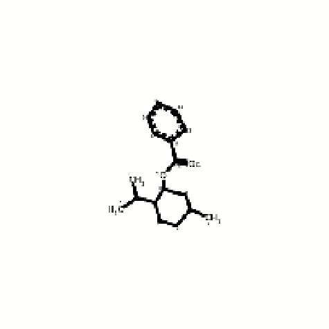 CC1CCC(C(C)C)C(OC(=O)c2ccccc2)C1